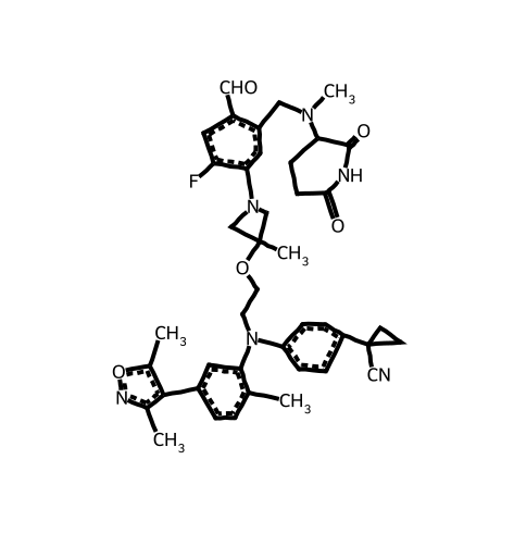 Cc1ccc(-c2c(C)noc2C)cc1N(CCOC1(C)CN(c2cc(CN(C)C3CCC(=O)NC3=O)c(C=O)cc2F)C1)c1ccc(C2(C#N)CC2)cc1